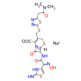 CN(C)C(=O)Cc1nnc(SCC2=C(C(=O)[O-])N3C(=O)C(NC(=O)C(=NO)c4csc(=N)[nH]4)[C@@H]3SC2)s1.[Na+]